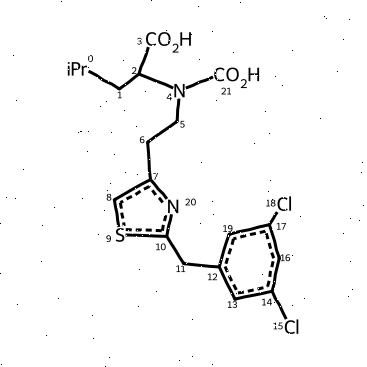 CC(C)CC(C(=O)O)N(CCc1csc(Cc2cc(Cl)cc(Cl)c2)n1)C(=O)O